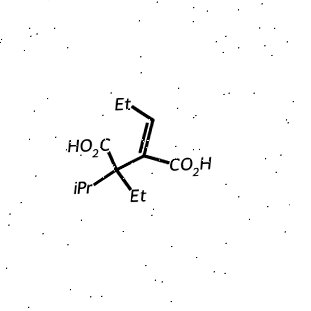 CCC=C(C(=O)O)C(CC)(C(=O)O)C(C)C